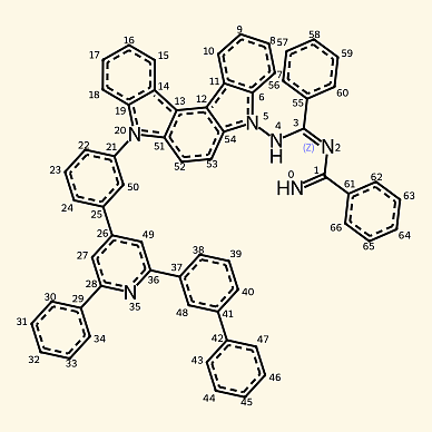 N=C(/N=C(\Nn1c2ccccc2c2c3c4ccccc4n(-c4cccc(-c5cc(-c6ccccc6)nc(-c6cccc(-c7ccccc7)c6)c5)c4)c3ccc21)c1ccccc1)c1ccccc1